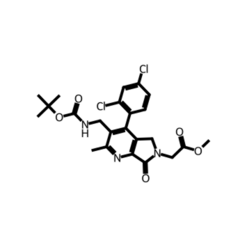 COC(=O)CN1Cc2c(nc(C)c(CNC(=O)OC(C)(C)C)c2-c2ccc(Cl)cc2Cl)C1=O